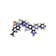 COc1cc(N2CCN(c3ccncc3)CC2)c(-c2cnn(C)c2)cc1Nc1ncc(Br)c(Nc2ccc3nc(C4CC4)ccc3c2P(C)(C)=O)n1